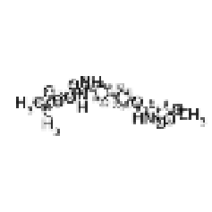 COC(=O)C[C@@H]1C[C@@H](COc2ccc(-c3ccc(C(=N)NC(=O)OCOC(=O)C(C)C)cc3)cc2)NC1=O